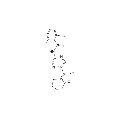 Cc1oc2c(c1-c1cnc(NC(=O)c3c(F)cccc3F)cn1)CCCC2